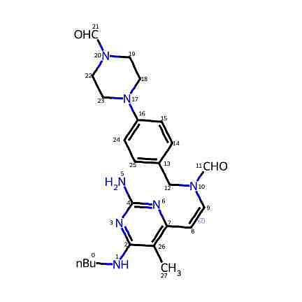 CCCCNc1nc(N)nc(/C=C\N(C=O)Cc2ccc(N3CCN(C=O)CC3)cc2)c1C